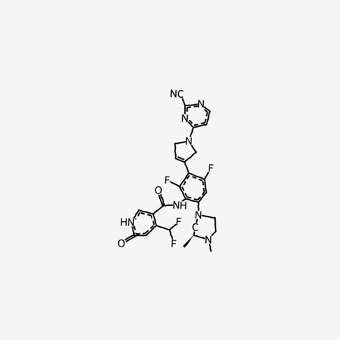 C[C@H]1CN(c2cc(F)c(C3=CCN(c4ccnc(C#N)n4)C3)c(F)c2NC(=O)c2c[nH]c(=O)cc2C(F)F)CCN1C